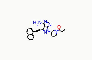 C=CC(=O)N1CCC[C@@H](n2nc(C#Cc3cccc4ccccc34)c3c(N)ncnc32)C1